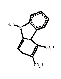 CN1C2=CCC(C(=O)O)=C(C(=O)O)C2c2ccccc21